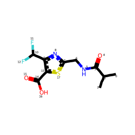 CC(C)C(=O)NCc1nc(C(F)F)c(C(=O)O)s1